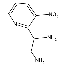 NCC(N)c1ncccc1[N+](=O)[O-]